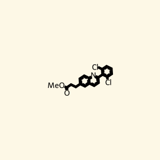 COC(=O)CCc1ccc2nc(-c3c(Cl)cccc3Cl)ccc2c1